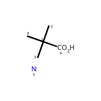 CC(C)(C)C(=O)O.[N]